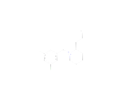 CCCC1CCCCN1Cc1cc(F)cc(F)c1